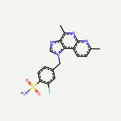 Cc1ccc2c(n1)nc(C)c1ncn(Cc3ccc(S(N)(=O)=O)c(F)c3)c12